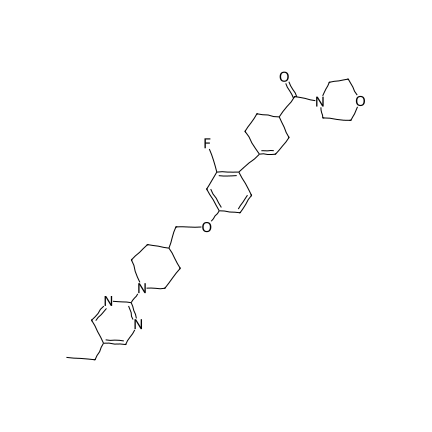 CCc1cnc(N2CCC(COc3ccc(C4=CCC(C(=O)N5CCOCC5)CC4)c(F)c3)CC2)nc1